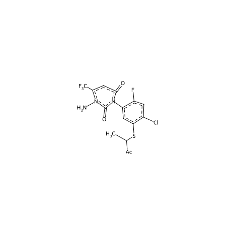 CC(=O)C(C)Sc1cc(-n2c(=O)cc(C(F)(F)F)n(N)c2=O)c(F)cc1Cl